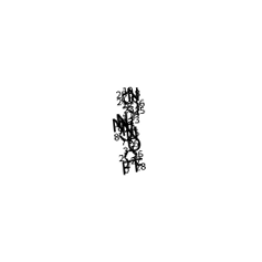 Fc1ccc(Oc2ccc3nnc(Cc4ccc5ncccc5c4)n3n2)cc1F